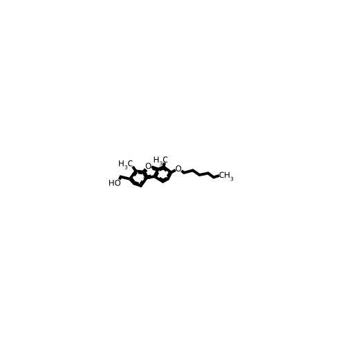 CCCCCCOc1ccc2c(oc3c(C)c(CO)ccc32)c1C